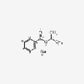 CC(C)OS(=O)c1ccccc1.[Na]